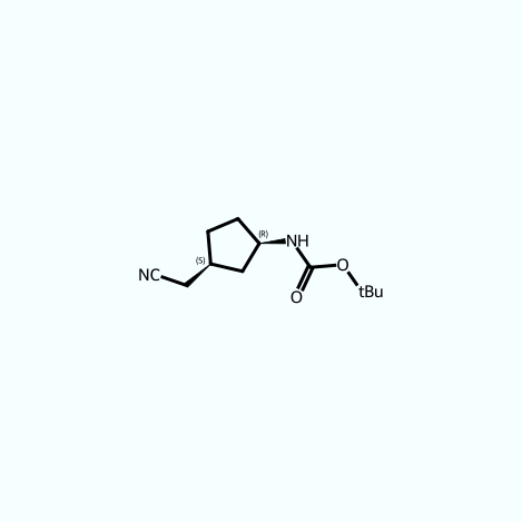 CC(C)(C)OC(=O)N[C@@H]1CC[C@H](CC#N)C1